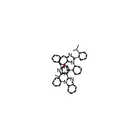 CC(C)c1ccccc1-c1nc2ccccc2n1-c1ccccc1-c1nc(-c2ccccc2)nc(-c2ccccc2-n2c(-c3ccccc3C(C)C)nc3ccccc32)n1